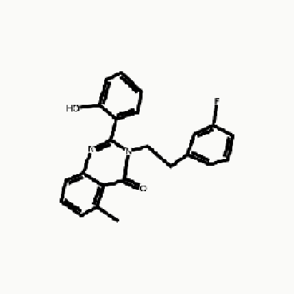 Cc1cccc2nc(-c3ccccc3O)n(CCc3cccc(F)c3)c(=O)c12